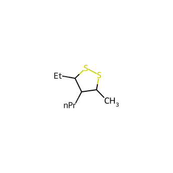 CCCC1C(C)SSC1CC